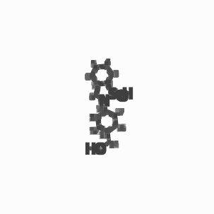 O=[SeH]1=c2ccccc2=CN1c1ccc(CO)cc1